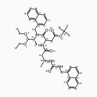 CCOC(OCC)[C@H](C)N(Cc1cccc2ccccc12)C(=O)C(CC(=O)OC(C)(C)C)NC(=O)CN(C)NC(=O)NCc1cccc2ccccc12